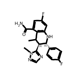 CC1c2c(cc(F)cc2C(N)=O)N[C@H](c2ccc(F)cc2)[C@H]1c1ncnn1C